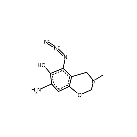 [CH2]N1COc2cc(N)c(O)c(N=[N+]=[N-])c2C1